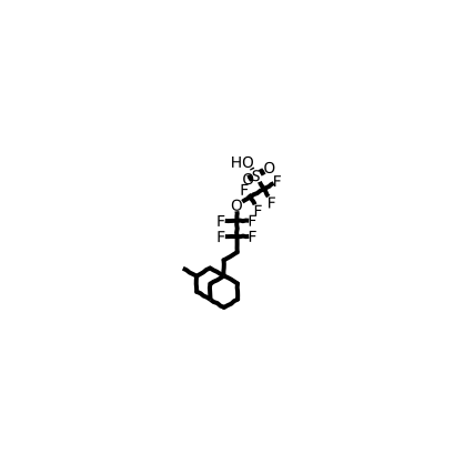 CC1CC2CCCC(CCC(F)(F)C(F)(F)OC(F)(F)C(F)(F)S(=O)(=O)O)(C1)C2